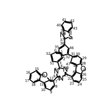 c1ccc(-c2nc(-c3cccc4c3oc3ccccc34)nc(-c3cccc4oc5ccc(-c6cccc(-c7nc8ccccc8s7)c6)cc5c34)n2)cc1